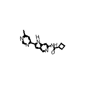 Cc1cc(-c2cc3cnc(NC(=O)C4CCC4)cc3[nH]2)ncn1